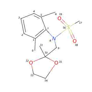 Cc1cccc(C)c1N(CC1(C)OCCO1)S(C)(=O)=O